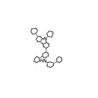 c1ccc(-c2cccc(Nc3ccc(-c4ccc5c(c4)c4ccc(-c6ccccc6)cc4n5-c4ccccc4)cc3-c3ccccc3)c2)cc1